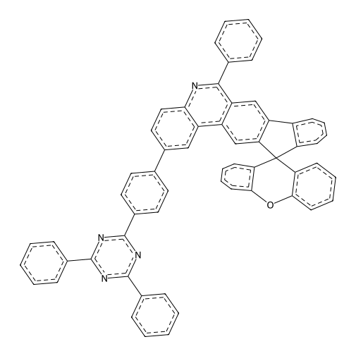 c1ccc(-c2nc(-c3ccccc3)nc(-c3ccc(-c4ccc5nc(-c6ccccc6)c6cc7c(cc6c5c4)C4(c5ccccc5Oc5ccccc54)c4ccccc4-7)cc3)n2)cc1